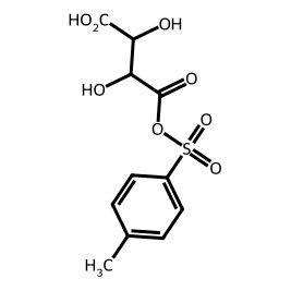 Cc1ccc(S(=O)(=O)OC(=O)C(O)C(O)C(=O)O)cc1